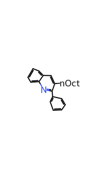 CCCCCCCCc1cc2ccccc2nc1-c1ccccc1